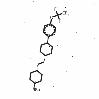 CCCC[C@H]1CC[C@H](CC[C@H]2CC[C@H](c3ccc(OC(F)(F)C(F)(F)F)cc3)CC2)CC1